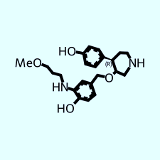 COCCCNc1cc(COC2CNCC[C@@H]2c2ccc(O)cc2)ccc1O